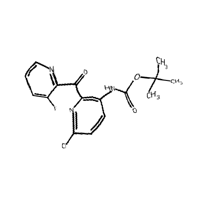 CC(C)(C)OC(=O)Nc1ccc(Cl)nc1C(=O)c1ncccc1F